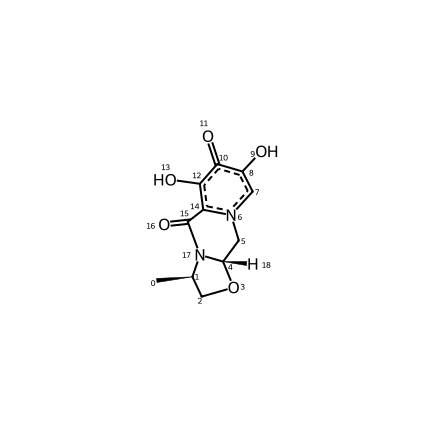 C[C@@H]1CO[C@H]2Cn3cc(O)c(=O)c(O)c3C(=O)N12